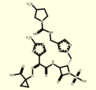 N=C(NCc1cnn(C[C@H]2C(NC(=O)/C(=N\OC3(C(=O)O)CC3)c3csc(N)n3)C(=O)N2S(=O)(=O)O)n1)N1CCC(N)C1